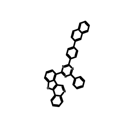 c1ccc(-c2nc(-c3ccc(-c4ccc5ccccc5c4)cc3)nc(-c3cccc4oc5c6ccccc6ncc5c34)n2)cc1